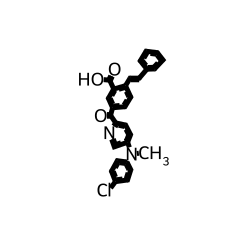 CN(c1ccc(Cl)cc1)c1ccc(C(=O)c2ccc(C=Cc3ccccc3)c(C(=O)O)c2)nc1